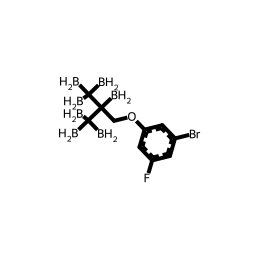 BC(B)(B)C(B)(COc1cc(F)cc(Br)c1)C(B)(B)B